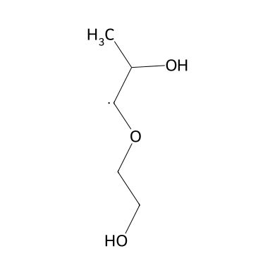 CC(O)[CH]OCCO